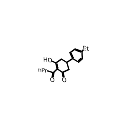 CCCC(=O)C1=C(O)CC(c2ccc(CC)cc2)CC1=O